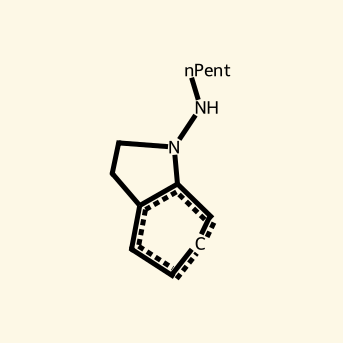 CCCCCNN1CCc2ccccc21